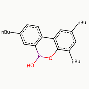 CCCCc1cc(CCCC)c2c(c1)-c1ccc(CCCC)cc1P(O)O2